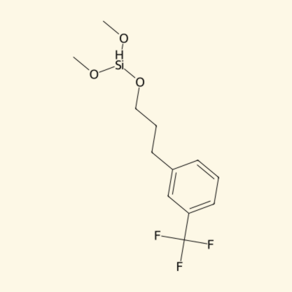 CO[SiH](OC)OCCCc1cccc(C(F)(F)F)c1